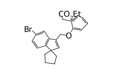 CCOC(=O)Cc1ccccc1OCC1=CC2(CCCC2)c2ccc(Br)cc21